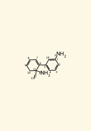 Nc1cccc(C2=CC=CCC2(N)F)c1